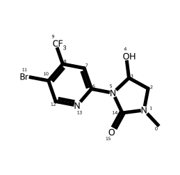 CN1CC(O)N(c2cc(C(F)(F)F)c(Br)cn2)C1=O